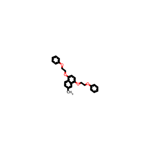 Cc1ccc2c(OCCOc3ccccc3)ccc(OCCOc3ccccc3)c2c1